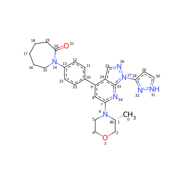 C[C@@H]1COCCN1c1cc(-c2ccc(N3CCCCCC3=O)cc2)c2cnn(-c3cc[nH]n3)c2n1